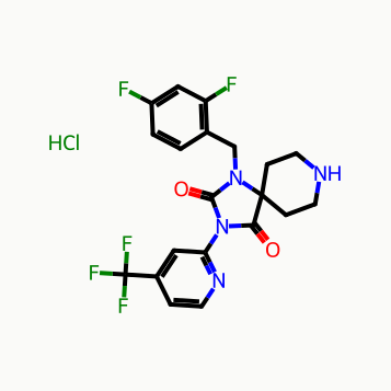 Cl.O=C1N(c2cc(C(F)(F)F)ccn2)C(=O)C2(CCNCC2)N1Cc1ccc(F)cc1F